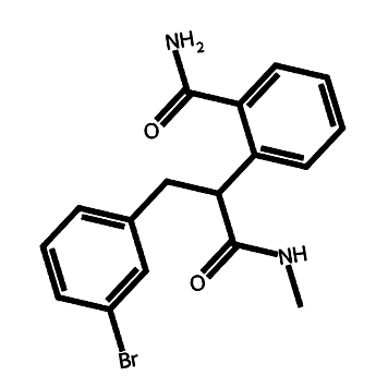 CNC(=O)C(Cc1cccc(Br)c1)c1ccccc1C(N)=O